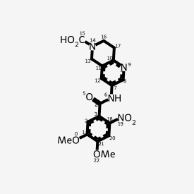 COc1cc(C(=O)Nc2cnc3c(c2)CN(C(=O)O)CC3)c([N+](=O)[O-])cc1OC